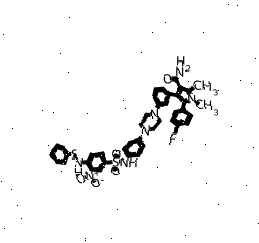 Cc1c(C(N)=O)c(-c2cccc(N3CCN(c4ccc(NS(=O)(=O)c5ccc(NSc6ccccc6)c([N+](=O)[O-])c5)cc4)CC3)c2)c(-c2ccc(F)cc2)n1C